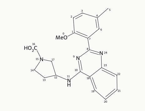 COc1ccc(C)cc1-c1nc(NC2CCN(C(=O)O)C2)c2ccccc2n1